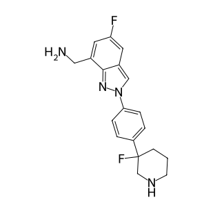 NCc1cc(F)cc2cn(-c3ccc(C4(F)CCCNC4)cc3)nc12